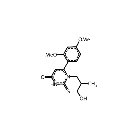 COc1ccc(-c2cc(=O)[nH]c(=S)n2CC(C)CO)c(OC)c1